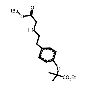 CCOC(=O)C(C)(C)Oc1ccc(CCNCC(=O)OC(C)(C)C)cc1